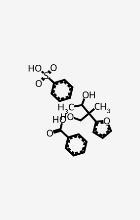 CC(O)C(C)(CO)c1ccco1.O=C(O)c1ccccc1.O=S(=O)(O)c1ccccc1